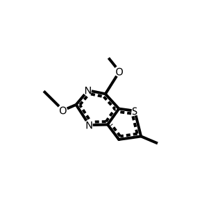 COc1nc(OC)c2sc(C)cc2n1